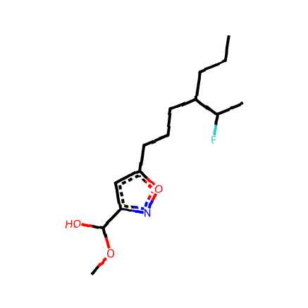 CCCC(CCCc1cc(C(O)OC)no1)C(C)F